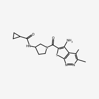 Cc1nnc2sc(C(=O)N3CCC(NC(=O)C4CC4)C3)c(N)c2c1C